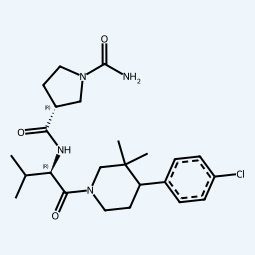 CC(C)[C@@H](NC(=O)[C@@H]1CCN(C(N)=O)C1)C(=O)N1CCC(c2ccc(Cl)cc2)C(C)(C)C1